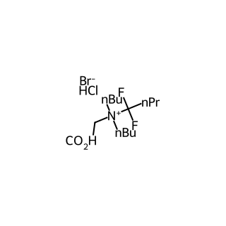 CCCC[N+](CCCC)(CC(=O)O)C(F)(F)CCC.Cl.[Br-]